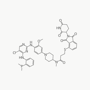 COc1cc(N2CCC(N(C)C(=O)CCSc3cccc4c3C(=O)N(C3CCC(=O)NC3=O)C4=O)CC2)ccc1Nc1ncc(Cl)c(Nc2ccccc2P(C)C)n1